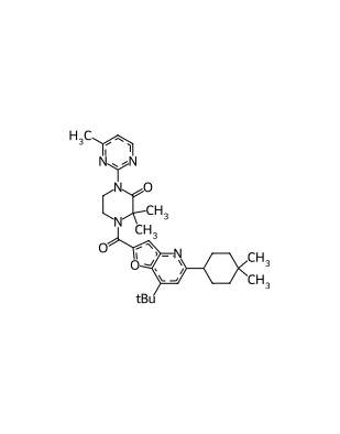 Cc1ccnc(N2CCN(C(=O)c3cc4nc(C5CCC(C)(C)CC5)cc(C(C)(C)C)c4o3)C(C)(C)C2=O)n1